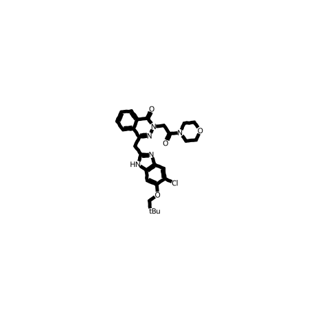 CC(C)(C)COc1cc2[nH]c(Cc3nn(CC(=O)N4CCOCC4)c(=O)c4ccccc34)nc2cc1Cl